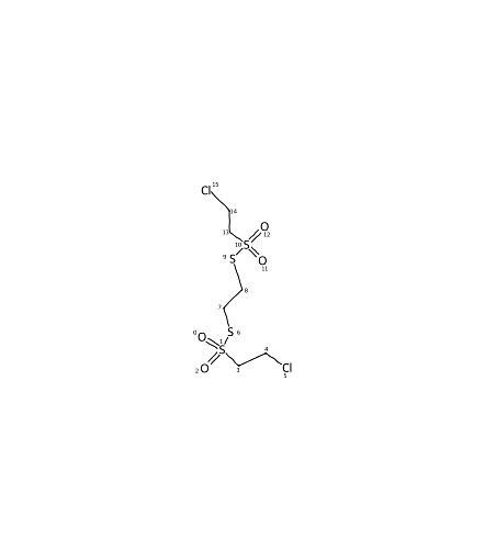 O=S(=O)(CCCl)SCCSS(=O)(=O)CCCl